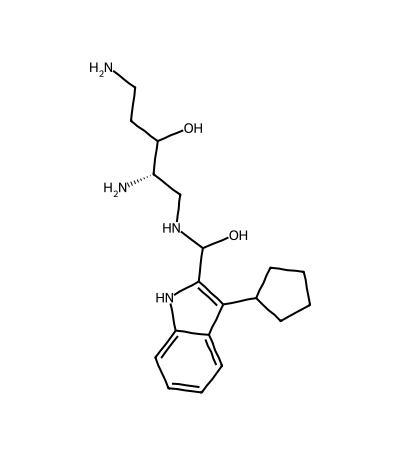 NCCC(O)[C@@H](N)CNC(O)c1[nH]c2ccccc2c1C1CCCC1